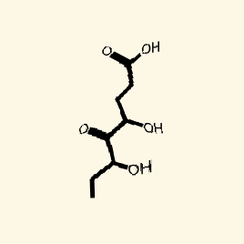 CCC(O)C(=O)C(O)CCC(=O)O